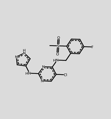 CS(=O)(=O)c1ccc(F)cc1CNc1nc(Nc2cn[nH]c2)ncc1Cl